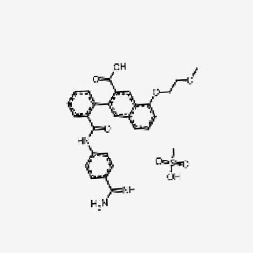 COCCOc1cccc2cc(-c3ccccc3C(=O)Nc3ccc(C(=N)N)cc3)c(C(=O)O)cc12.CS(=O)(=O)O